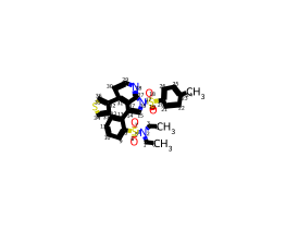 CCN(CC)S(=O)(=O)c1ccccc1-c1cn(S(=O)(=O)c2ccc(C)cc2)c2nccc(-c3ccsc3)c12